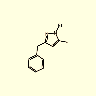 CCn1nc(Cc2ccccc2)cc1C